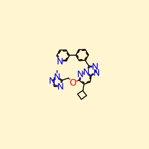 Cn1ncnc1COc1nn2c(-c3cccc(-c4cccnc4)c3)nnc2cc1C1CCC1